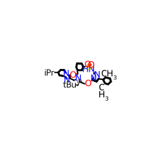 Cc1cccc(C)c1-c1cc2nc(n1)NS(=O)(=O)c1cccc(c1)C(=O)N(Cc1cn3ccc(C(C)C)cc3n1)[C@H](CC(C)(C)C)CO2